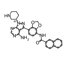 Nc1ncnc2c1c(-c1ccc(NC(=O)c3ccc4ccccc4c3)c3c1OCO3)nn2[C@@H]1CCCNC1